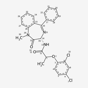 CC(Oc1ccc(Cl)cc1Cl)C(=O)N[C@H]1N=C(c2ccccc2)c2ccccc2N(C)C1=O